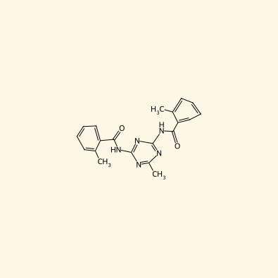 Cc1nc(NC(=O)c2ccccc2C)nc(NC(=O)c2ccccc2C)n1